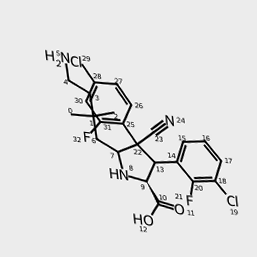 CC(C)(CCN)CC1N[C@H](C(=O)O)C(c2cccc(Cl)c2F)C1(C#N)c1ccc(Cl)cc1F